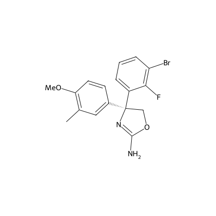 COc1ccc([C@]2(c3cccc(Br)c3F)COC(N)=N2)cc1C